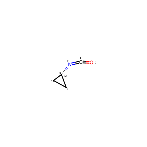 O=C=N[C@H]1[CH]C1